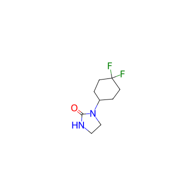 O=C1NCCN1C1CCC(F)(F)CC1